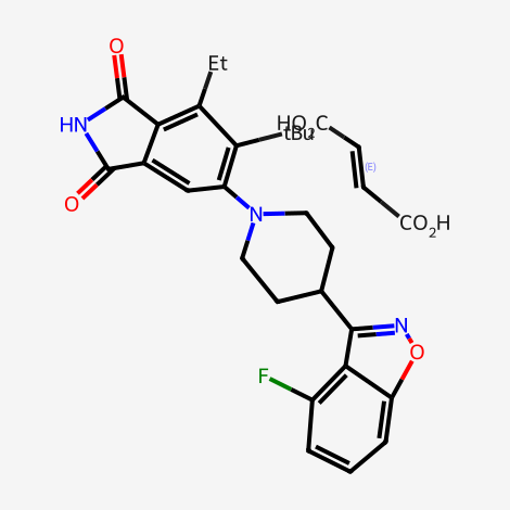 CCc1c2c(cc(N3CCC(c4noc5cccc(F)c45)CC3)c1C(C)(C)C)C(=O)NC2=O.O=C(O)/C=C/C(=O)O